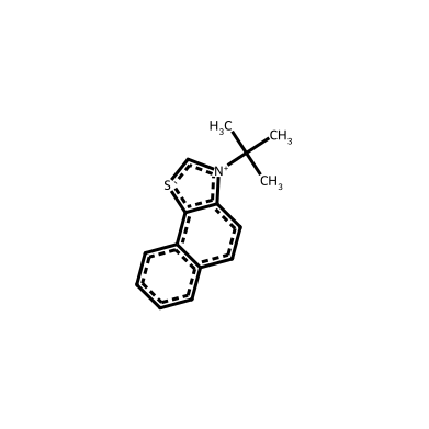 CC(C)(C)[n+]1csc2c3ccccc3ccc21